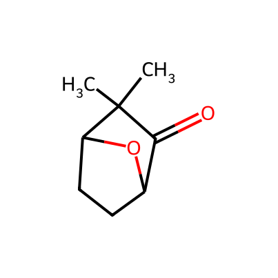 CC1(C)C(=O)C2CCC1O2